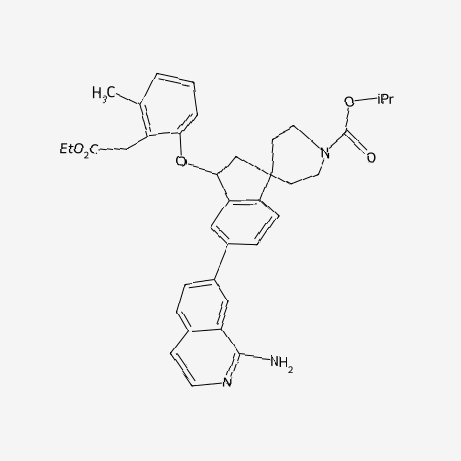 CCOC(=O)Cc1c(C)cccc1OC1CC2(CCN(C(=O)OC(C)C)CC2)c2ccc(-c3ccc4ccnc(N)c4c3)cc21